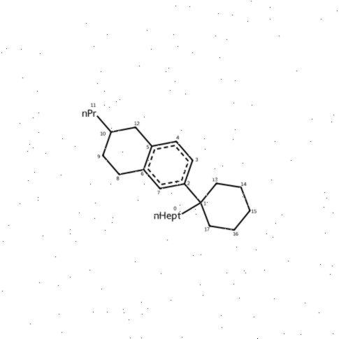 CCCCCCCC1(c2ccc3c(c2)CCC(CCC)C3)CCCCC1